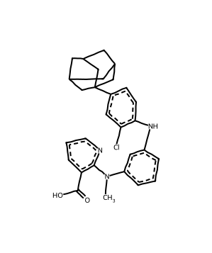 CN(c1cccc(Nc2ccc(C34CC5CC(CC(C5)C3)C4)cc2Cl)c1)c1ncccc1C(=O)O